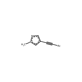 CC(=O)C#Cc1cnn(C)c1